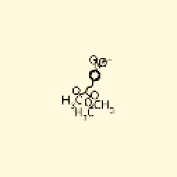 CC(=O)C(CCc1ccc([N+](=O)[O-])cc1)C(=O)OC(C)C